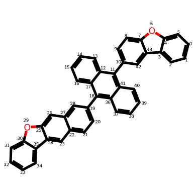 c1ccc2c(c1)oc1ccc(-c3c4ccccc4c(-c4ccc5cc6c(cc5c4)oc4ccccc46)c4ccccc34)cc12